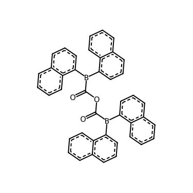 O=C(OC(=O)B(c1cccc2ccccc12)c1cccc2ccccc12)B(c1cccc2ccccc12)c1cccc2ccccc12